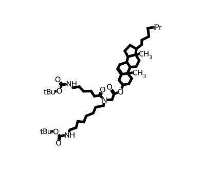 CC(C)CCCCC1CCC2C3CC=C4CC(OC(=O)CN(CCCCCCCCNC(=O)OC(C)(C)C)C(=O)CCCCCNC(=O)OC(C)(C)C)CCC4(C)C3CCC12C